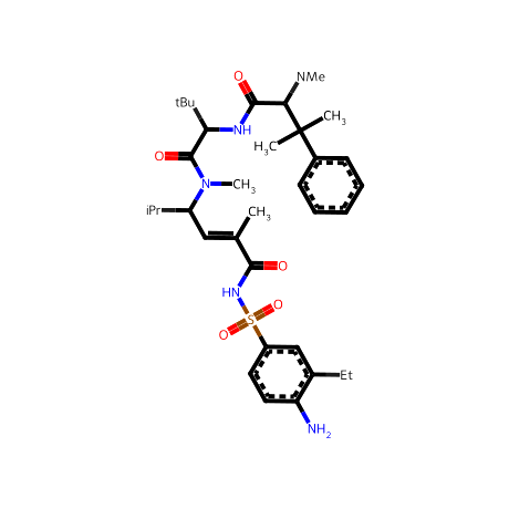 CCc1cc(S(=O)(=O)NC(=O)C(C)=CC(C(C)C)N(C)C(=O)C(NC(=O)C(NC)C(C)(C)c2ccccc2)C(C)(C)C)ccc1N